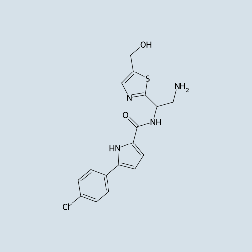 NCC(NC(=O)c1ccc(-c2ccc(Cl)cc2)[nH]1)c1ncc(CO)s1